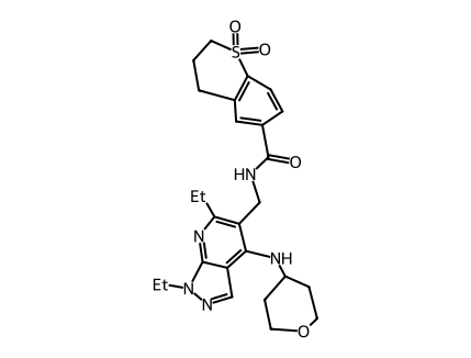 CCc1nc2c(cnn2CC)c(NC2CCOCC2)c1CNC(=O)c1ccc2c(c1)CCCS2(=O)=O